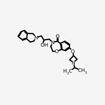 CC(C)N1CC(Oc2ccc3c(c2)OCCN(CC(O)CN2CCc4ccccc4C2)C3=O)C1